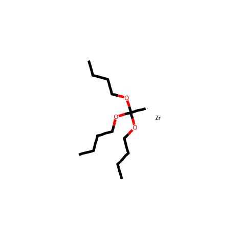 [CH2]C(OCCCC)(OCCCC)OCCCC.[Zr]